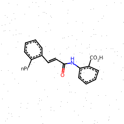 CCCc1ccccc1C=CC(=O)Nc1ccccc1C(=O)O